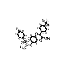 CN(Cc1ccc(OC(C(=O)O)c2ccc(C(F)(F)F)cc2)cc1)S(=O)(=O)c1ccc(F)cc1